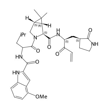 C=CC(=O)[C@H](C[C@@H]1CCNC1=O)NC(=O)[C@@H]1[C@@H]2[C@H](CN1C(=O)C(CC(C)C)NC(=O)c1cc3c(OC)cccc3[nH]1)C2(C)C